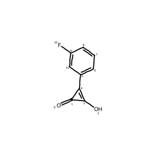 O=c1c(O)c1-c1cccc(F)c1